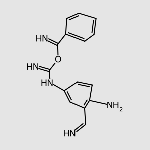 N=Cc1cc(NC(=N)OC(=N)c2ccccc2)ccc1N